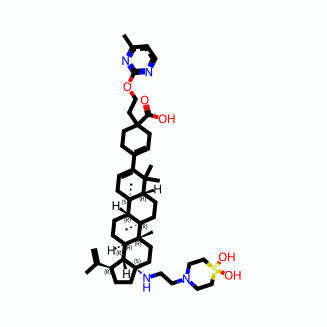 C=C(C)[C@@H]1CC[C@]2(NCCN3CCS(O)(O)CC3)CC[C@]3(C)[C@H](CC[C@@H]4[C@@]5(C)CC=C(C6=CCC(CCOc7nccc(C)n7)(C(=O)O)CC6)C(C)(C)[C@@H]5CC[C@]43C)[C@@H]12